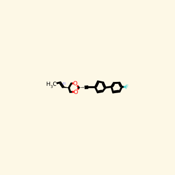 C/C=C/[C@H]1CO[C@H](C#Cc2ccc(-c3ccc(F)cc3)cc2)OC1